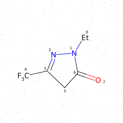 CCN1N=C(C(F)(F)F)CC1=O